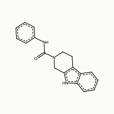 O=C(Nc1ccccc1)N1CCc2c([nH]c3ccccc23)C1